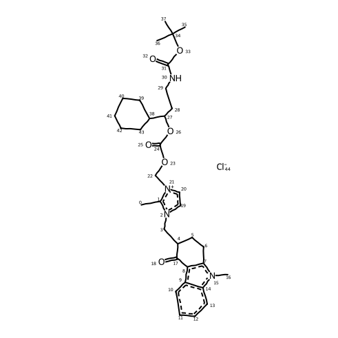 Cc1n(CC2CCc3c(c4ccccc4n3C)C2=O)cc[n+]1COC(=O)OC(CCNC(=O)OC(C)(C)C)C1CCCCC1.[Cl-]